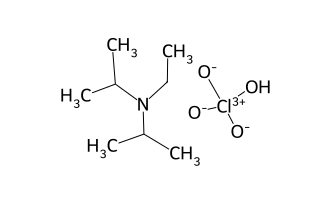 CCN(C(C)C)C(C)C.[O-][Cl+3]([O-])([O-])O